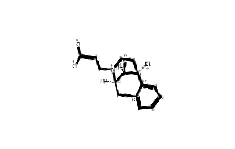 CC[C@]12CCN(CC=C(Cl)Cl)[C@H](Cc3ccccc31)[C@H]2C